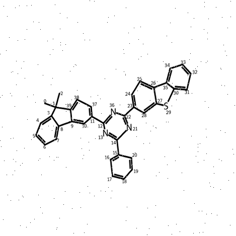 CC1(C)c2ccccc2-c2cc(-c3nc(-c4ccccc4)nc(-c4ccc5c(c4)sc4ccccc45)n3)ccc21